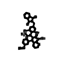 CCCCn1c(=O)c(N(C(N)=O)c2c(C(C)C)cc(CN3C(=O)c4ccccc4C3=O)cc2C(C)C)c(-c2cccc(OC)c2)c2cccnc21